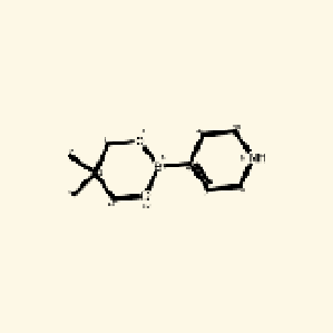 CC1(C)COB(C2=CCNCC2)OC1